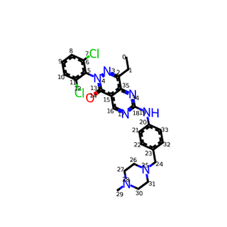 CCc1nn(-c2c(Cl)cccc2Cl)c(=O)c2cnc(Nc3ccc(CN4CCN(C)CC4)cc3)nc12